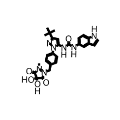 CN1C(=O)C(O)(O)C(=O)N1Cc1ccc(-n2nc(C(C)(C)C)cc2NC(=O)Nc2ccc3[nH]ccc3c2)cc1